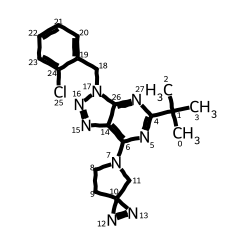 CC(C)(C)c1nc(N2CCC3(C2)N=N3)c2nnn(Cc3ccccc3Cl)c2n1